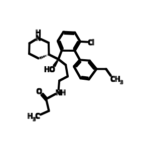 CCC(=O)NCCC[C@@](O)(c1cccc(Cl)c1-c1cccc(CC)c1)[C@@H]1CCCNC1